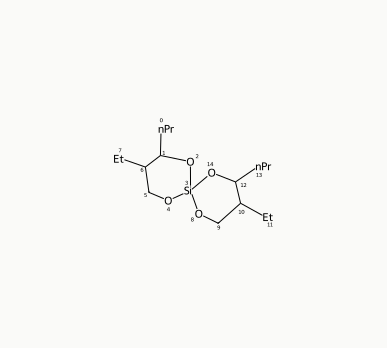 CCCC1O[Si]2(OCC1CC)OCC(CC)C(CCC)O2